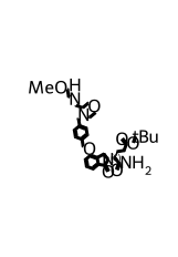 COCCNCC1COCCN1Cc1ccc(COc2cccc3c2CN([C@@H](CCC(=O)OC(C)(C)C)C(N)=O)C3=O)cc1